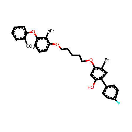 CCCc1c(OCCCCCOc2cc(O)c(-c3ccc(F)cc3)cc2CC)cccc1Oc1ccccc1C(=O)O